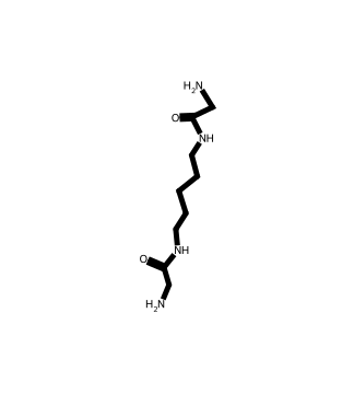 NCC(=O)NCCCCCNC(=O)CN